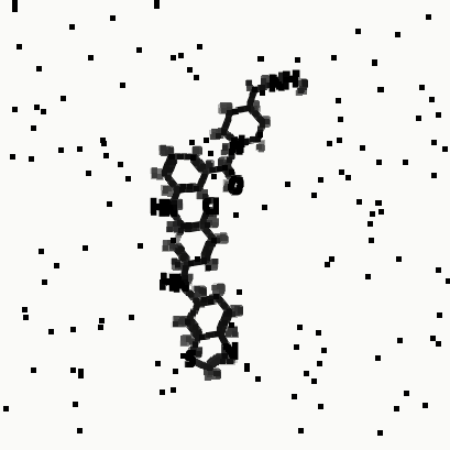 NCC1CCN(C(=O)c2cccc(Nc3cc(Nc4ccc5ncsc5c4)ccc3Cl)c2)CC1